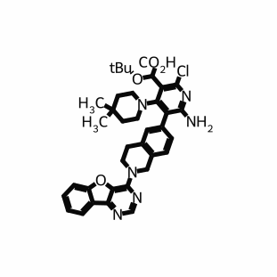 CC1(C)CCN(c2c(-c3ccc4c(c3)CCN(c3ncnc5c3oc3ccccc35)C4)c(N)nc(Cl)c2C(OC(C)(C)C)C(=O)O)CC1